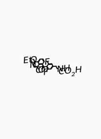 CCOc1ncc(Cl)c2c(C(=O)c3c(F)cc(CCNC(=O)O)cc3F)cccc12